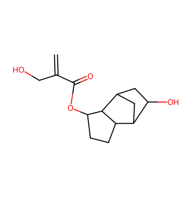 C=C(CO)C(=O)OC1CCC2C3CC(CC3O)C12